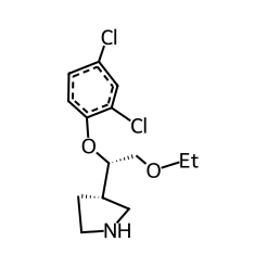 CCOC[C@@H](Oc1ccc(Cl)cc1Cl)[C@H]1CCNC1